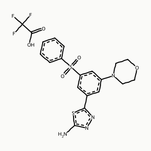 Nc1nnc(-c2cc(N3CCOCC3)cc(S(=O)(=O)c3ccccc3)c2)s1.O=C(O)C(F)(F)F